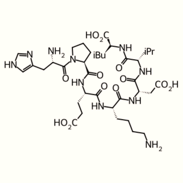 CC[C@H](C)[C@H](NC(=O)[C@@H](NC(=O)[C@H](CC(=O)O)NC(=O)[C@H](CCCCN)NC(=O)[C@H](CCC(=O)O)NC(=O)[C@@H]1CCCN1C(=O)[C@@H](N)Cc1c[nH]cn1)C(C)C)C(=O)O